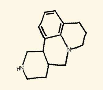 c1cc2c3c(c1)C1CNCCC1CN3CCC2